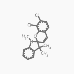 CN1c2ccccc2C(C)(C)C12C=Cc1ccc(Cl)c(Cl)c1O2